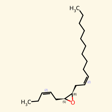 CC/C=C\C[C@@H]1O[C@@H]1C/C=C\CCCCCCCCC